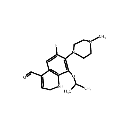 CC(C)Oc1c2c(cc(F)c1N1CCN(C)CC1)C(C=O)=CCN2